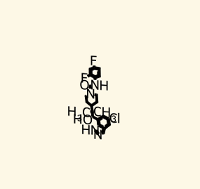 CC(C)(C1CCN(C(=O)Nc2ccc(F)cc2F)CC1)C(O)c1cc(Cl)cc2cn[nH]c12